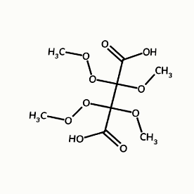 COOC(OC)(C(=O)O)C(OC)(OOC)C(=O)O